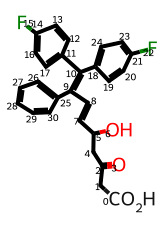 O=C(O)CC(=O)CC(O)C=CC(=C(c1ccc(F)cc1)c1ccc(F)cc1)c1ccccc1